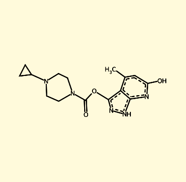 Cc1cc(O)nc2[nH]nc(OC(=O)N3CCN(C4CC4)CC3)c12